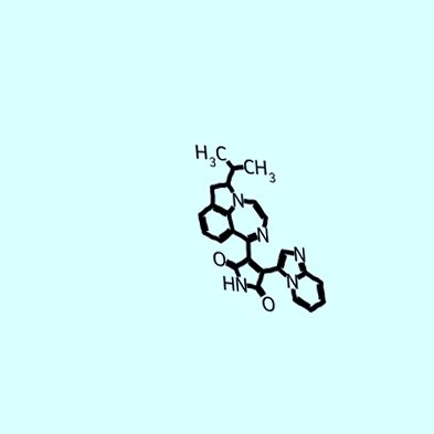 CC(C)C1Cc2cccc3c2N1C=CN=C3C1=C(c2cnc3ccccn23)C(=O)NC1=O